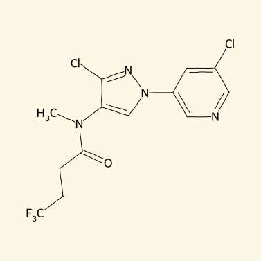 CN(C(=O)CCC(F)(F)F)c1cn(-c2cncc(Cl)c2)nc1Cl